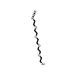 CC(=O)CCOCCOCCOCCOCCN=[N+]=[N-]